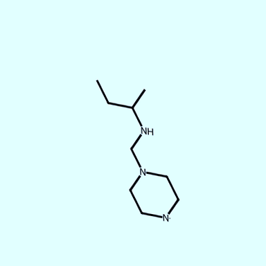 CCC(C)NCN1CC[N]CC1